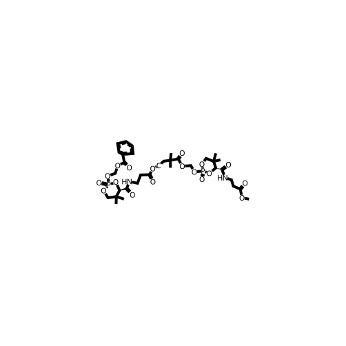 COC(=O)CCNC(=O)[C@@H]1OP(=O)(OCOC(=O)C(C)(C)CCOC(=O)CCNC(=O)[C@@H]2OP(=O)(OCOC(=O)c3ccccc3)OCC2(C)C)OCC1(C)C